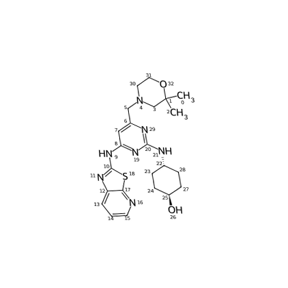 CC1(C)CN(Cc2cc(Nc3nc4cccnc4s3)nc(N[C@H]3CC[C@H](O)CC3)n2)CCO1